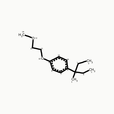 CCC(C)(CC)c1ccc(OCCOC)cc1